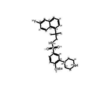 COc1ccc(S(=O)(=O)NCC(C)(C)c2cccc3cc(F)ccc23)cc1N1CCNCC1